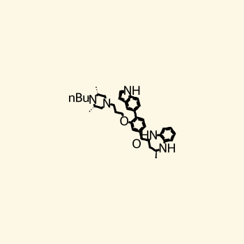 CCCCN1[C@H](C)CN(CCCOc2cc(C(=O)C3C[C@H](C)Nc4ccccc4N3)ccc2-c2ccc3[nH]ccc3c2)C[C@@H]1C